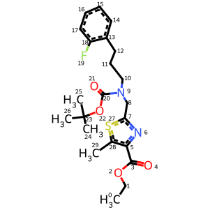 CCOC(=O)c1nc(CN(CCCc2ccccc2F)C(=O)OC(C)(C)C)sc1C